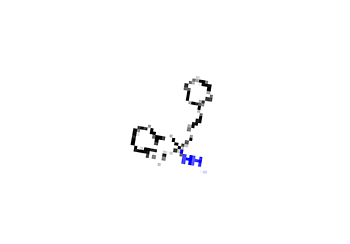 CCOC(=O)[C@](N)(CC=Cc1ccccc1)Cc1ccccc1